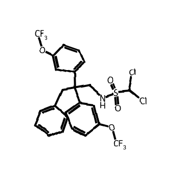 O=S(=O)(NCC(Cc1ccccc1)(c1cccc(OC(F)(F)F)c1)c1cccc(OC(F)(F)F)c1)C(Cl)Cl